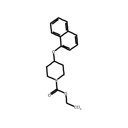 O=C(OCC(Cl)(Cl)Cl)N1CCC(Oc2cccc3ccccc23)CC1